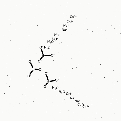 O.O.O.O.[Ca+2].[Ca+2].[Ca+2].[Ca+2].[Na+].[Na+].[Na+].[Na+].[O-]B([O-])[O-].[O-]B([O-])[O-].[O-]B([O-])[O-].[OH-].[OH-].[OH-]